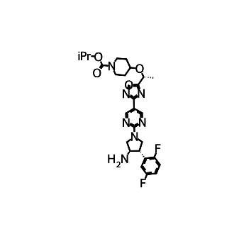 CC(C)OC(=O)N1CCC(O[C@H](C)c2nc(-c3cnc(N4C[C@H](c5cc(F)ccc5F)[C@@H](N)C4)nc3)no2)CC1